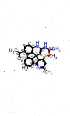 CSc1cc(C)nc(SC)c1C1(c2ccccc2Cl)C=C(NC(N)=O)Nc2ccc(C(C)C)cc21